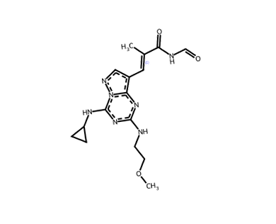 COCCNc1nc(NC2CC2)n2ncc(/C=C(\C)C(=O)NC=O)c2n1